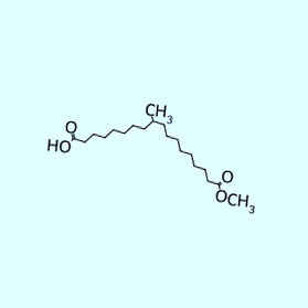 COC(=O)CCCCCCCCC(C)CCCCCCCC(=O)O